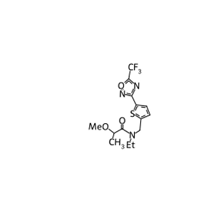 CCN(Cc1ccc(-c2noc(C(F)(F)F)n2)s1)C(=O)C(C)OC